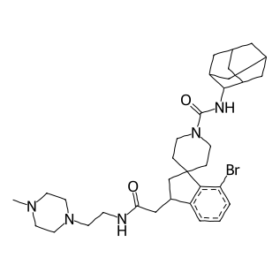 CN1CCN(CCNC(=O)CC2CC3(CCN(C(=O)NC4C5CC6CC(C5)CC4C6)CC3)c3c(Br)cccc32)CC1